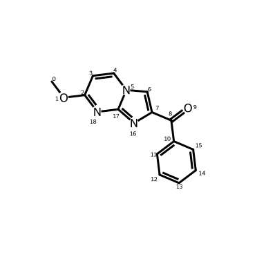 COc1ccn2cc(C(=O)c3ccccc3)nc2n1